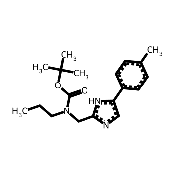 CCCN(Cc1ncc(-c2ccc(C)cc2)[nH]1)C(=O)OC(C)(C)C